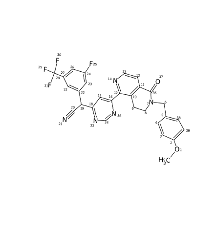 COc1ccc(CN2CCc3c(ccnc3-c3cc(C(C#N)c4cc(F)cc(C(F)(F)F)c4)ncn3)C2=O)cc1